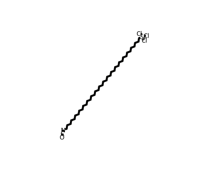 O=C=NCCCCCCCCCCCCCCCCCCCCCCCCCCCCCCCCCCCCCC[Si](Cl)(Cl)Cl